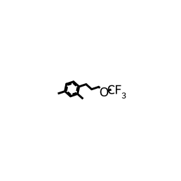 Cc1ccc(CCCOC(F)(F)F)c(C)c1